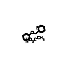 CC(=O)O.c1ccc(COc2cccnc2)nc1